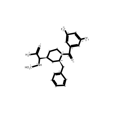 NC(=O)C(NC(=O)O)[C@H]1CCN(C(=O)c2cc(C(F)(F)F)cc(C(F)(F)F)c2)[C@@H](Cc2ccccc2)C1